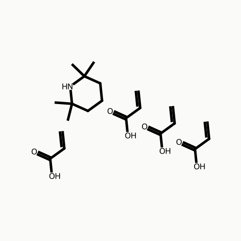 C=CC(=O)O.C=CC(=O)O.C=CC(=O)O.C=CC(=O)O.CC1(C)CCCC(C)(C)N1